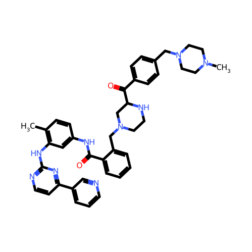 Cc1ccc(NC(=O)c2ccccc2CN2CCNC(C(=O)c3ccc(CN4CCN(C)CC4)cc3)C2)cc1Nc1nccc(-c2cccnc2)n1